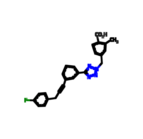 Cc1cc(Cn2nnc(-c3cccc(C#CCc4ccc(F)cc4)c3)n2)ccc1C(=O)O